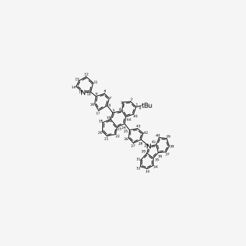 CC(C)(C)c1ccc2c(-c3ccc(-c4ccccn4)cc3)c3ccccc3c(-c3ccc(-n4c5ccccc5c5ccccc54)cc3)c2c1